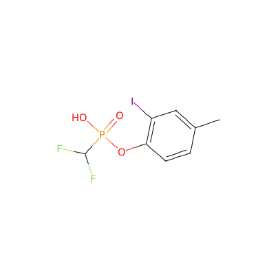 Cc1ccc(OP(=O)(O)C(F)F)c(I)c1